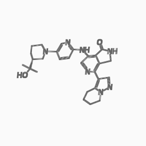 CC(C)(O)[C@H]1CCCN(c2ccc(Nc3cnc(-c4cnn5c4CCCC5)c4c3C(=O)NC4)nc2)C1